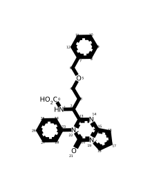 O=C(O)NC(CCOCc1ccccc1)c1nc2cccn2c(=O)n1-c1ccccc1